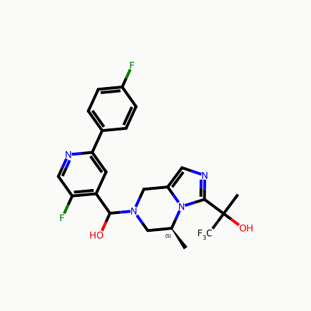 C[C@H]1CN(C(O)c2cc(-c3ccc(F)cc3)ncc2F)Cc2cnc(C(C)(O)C(F)(F)F)n21